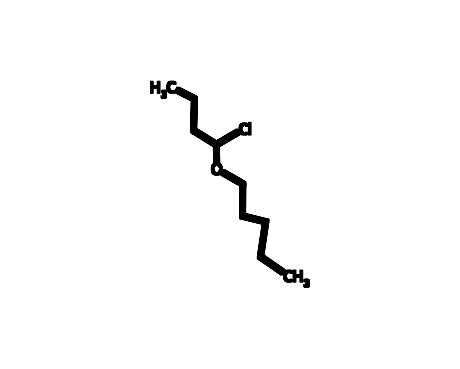 CCCCCOC(Cl)CCC